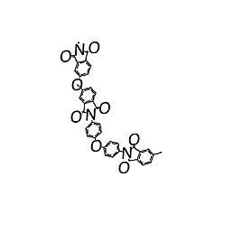 Cc1ccc2c(c1)C(=O)N(c1ccc(Oc3ccc(N4C(=O)c5ccc(Oc6ccc7c(c6)C(=O)N(C)C7=O)cc5C4=O)cc3)cc1)C2=O